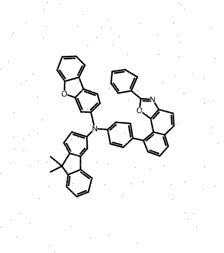 CC1(C)c2ccccc2-c2cc(N(c3ccc(-c4cccc5ccc6nc(-c7ccccc7)oc6c45)cc3)c3ccc4c(c3)oc3ccccc34)ccc21